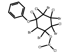 [Cl][Al]([Cl])[O]C1(Br)C(Br)C(Cl)(Oc2ccccc2)C(Cl)(Br)C(Cl)(Br)C1(Cl)Br